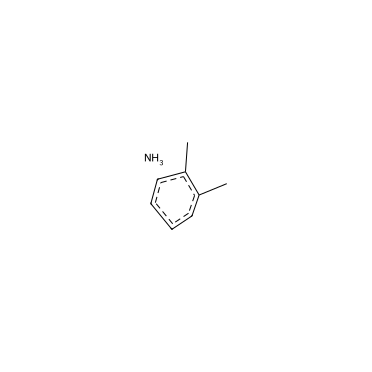 Cc1ccccc1C.N